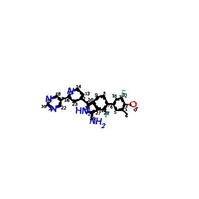 COc1c(C)cc(-c2ccc3c(-c4ccnc(-c5cncnc5)c4)[nH]c(N)c3c2F)cc1F